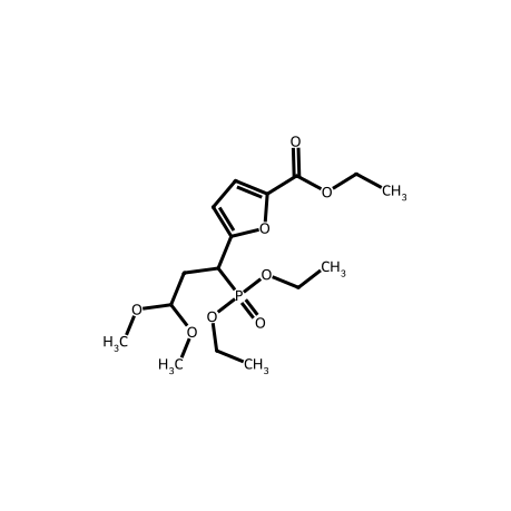 CCOC(=O)c1ccc(C(CC(OC)OC)P(=O)(OCC)OCC)o1